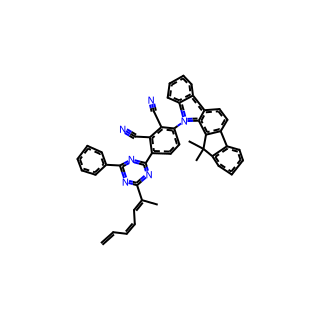 C=C/C=C\C=C(/C)c1nc(-c2ccccc2)nc(-c2ccc(-n3c4ccccc4c4ccc5c(c43)C(C)(C)c3ccccc3-5)c(C#N)c2C#N)n1